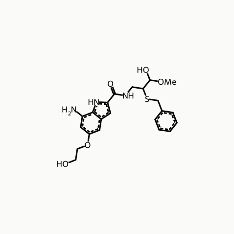 COC(O)C(CNC(=O)c1cc2cc(OCCO)cc(N)c2[nH]1)SCc1ccccc1